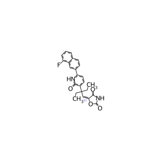 CCC(/C=C1/OC(=O)NC1=O)(CC)c1ccc(-c2ccc3cccc(F)c3c2)[nH]c1=O